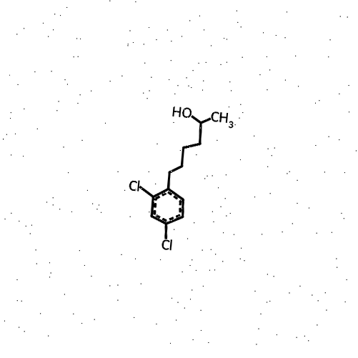 CC(O)CCCCc1ccc(Cl)cc1Cl